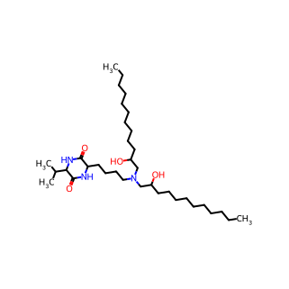 CCCCCCCCCCC(O)CN(CCCCC1NC(=O)C(C(C)C)NC1=O)CC(O)CCCCCCCCCC